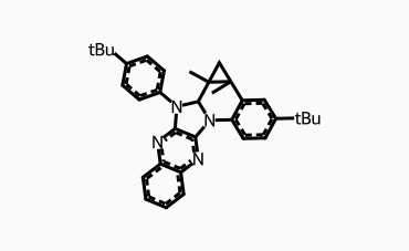 CC(C)(C)c1ccc(N2c3nc4ccccc4nc3N3c4ccc(C(C)(C)C)cc4C4(C)CC4(C)C23)cc1